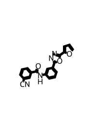 N#Cc1cccc(C(=O)Nc2cccc(-c3nnc(-c4ccco4)o3)c2)c1